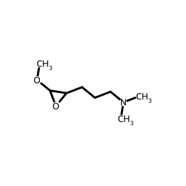 COC1OC1CCCN(C)C